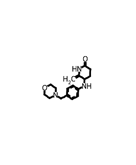 C=C1NC(=O)CCC1Nc1ccc(CN2CCOCC2)cc1